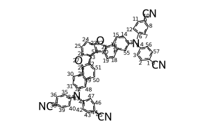 N#Cc1ccc(N(c2ccc(C#N)cc2)c2ccc3c(ccc4c3oc3ccc5oc6c7ccc(N(c8ccc(C#N)cc8)c8ccc(C#N)cc8)cc7ccc6c5c34)c2)cc1